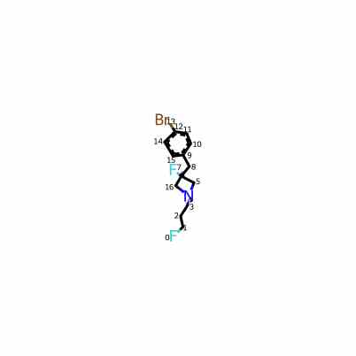 FCCCN1CC(F)(Cc2ccc(Br)cc2)C1